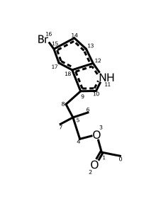 CC(=O)OCC(C)(C)Cc1c[nH]c2ccc(Br)cc12